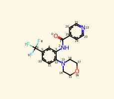 O=C(Nc1cc(C(F)(F)F)ccc1N1CCOCC1)c1ccncc1